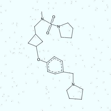 CN(CC1CC(Oc2ccc(CN3CCCC3)cc2)C1)S(=O)(=O)N1CCCC1